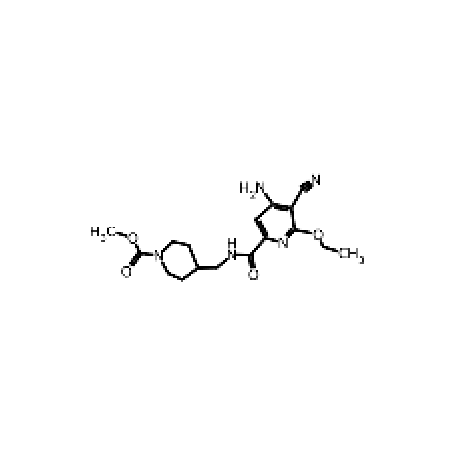 CCOc1nc(C(=O)NCC2CCN(C(=O)OC)CC2)cc(N)c1C#N